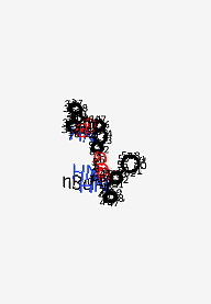 CCCCC(NC(=O)COc1ccc2c(c1)CCc1ccccc1C2NC(=O)OCC1c2ccccc2-c2ccccc21)C(=O)NC(c1ccccc1)c1ccc(C2CCCCCCCC2)cc1